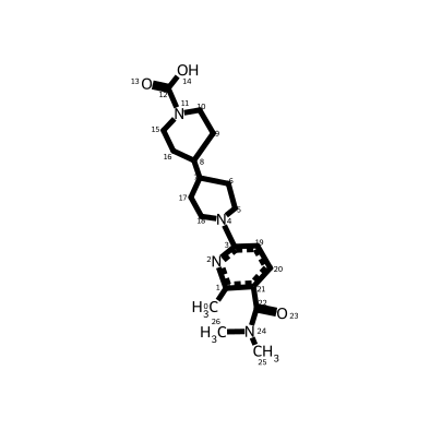 Cc1nc(N2CCC(C3CCN(C(=O)O)CC3)CC2)ccc1C(=O)N(C)C